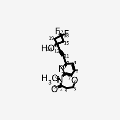 CN1C(=O)CCOc2ccc(C#CC3(O)CC(F)(F)C3)nc21